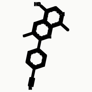 Cc1cc2c(O)cnc(C)c2nc1-c1ccc(C#N)cc1